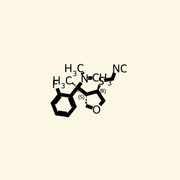 [C-]#[N+]CS[C@H]1COC[C@@H]1[C@@](C)(c1ccccc1F)N(C)C